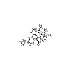 COc1ncccc1C1C(C(=O)C(C)(C)C)=C(O)C(=O)N1c1ccc(-c2nccs2)cc1